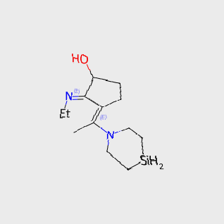 CC/N=C1\C(=C(/C)N2CC[SiH2]CC2)CCC1O